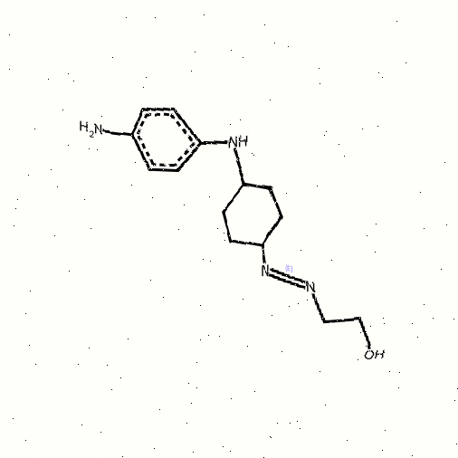 Nc1ccc(NC2CCC(/N=N/CCO)CC2)cc1